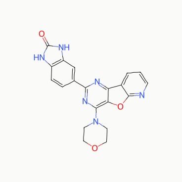 O=c1[nH]c2ccc(-c3nc(N4CCOCC4)c4oc5ncccc5c4n3)cc2[nH]1